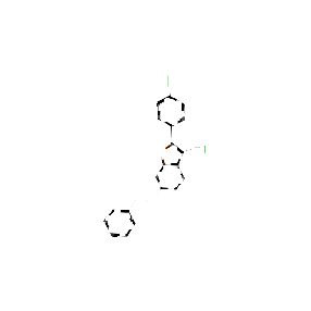 Fc1ccc(-c2sc3cc(OCc4ccccc4)ccc3c2Br)cc1